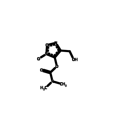 CN(C)C(=O)Oc1c(CO)no[n+]1[O-]